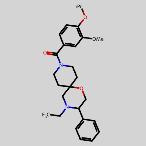 COc1cc(C(=O)N2CCC3(CC2)CN(CC(F)(F)F)C(c2ccccc2)CO3)ccc1OC(C)C